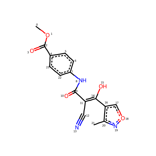 COC(=O)c1ccc(NC(=O)C(C#N)=C(O)c2conc2C)cc1